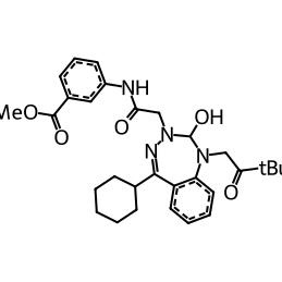 COC(=O)c1cccc(NC(=O)CN2N=C(C3CCCCC3)c3ccccc3N(CC(=O)C(C)(C)C)C2O)c1